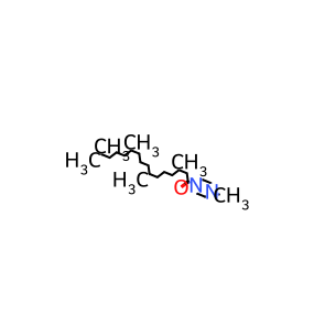 CC(C)CCCC(C)CCCC(C)CCCC(C)CC(=O)N1CCN(C)CC1